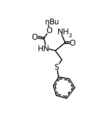 CCCCOC(=O)NC(CSc1ccccc1)C(N)=O